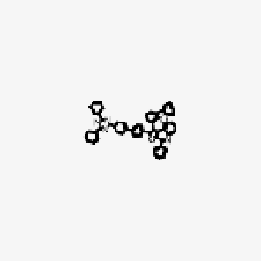 c1ccc(-c2nc(-c3ccccc3)nc(-c3ccc(-c4ccc(-c5oc6c(-c7ccccc7)nc7ccccc7c6c5-c5cccc6c5oc5ccccc56)cc4)cc3)n2)cc1